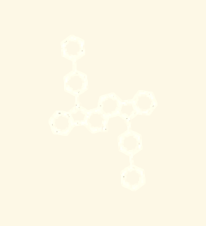 c1ccc(-c2ccc(-n3c4ccccc4c4cnc5c(ccc6c7ccccc7n(-c7ccc(-c8ccccc8)cc7)c65)c43)cc2)cc1